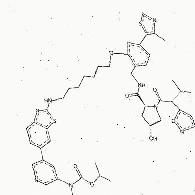 Cc1cc([C@H](C(=O)N2C[C@H](O)C[C@H]2C(=O)NCc2ccc(-c3scnc3C)cc2OCCCCCCCNc2nc3ccc(-c4cncc(N(C)C(=O)OC(C)C)c4)cc3s2)C(C)C)on1